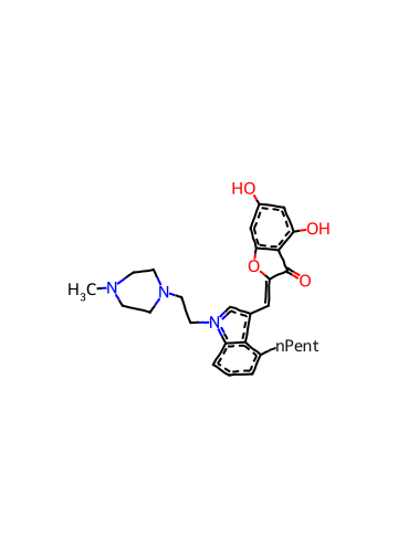 CCCCCc1cccc2c1c(/C=C1\Oc3cc(O)cc(O)c3C1=O)cn2CCN1CCN(C)CC1